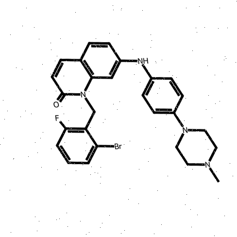 CN1CCN(c2ccc(Nc3ccc4ccc(=O)n(Cc5c(F)cccc5Br)c4c3)cc2)CC1